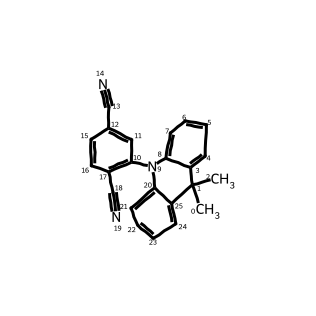 CC1(C)c2ccccc2N(c2cc(C#N)ccc2C#N)c2ccccc21